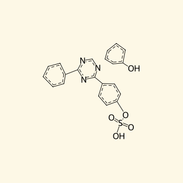 O=S(=O)(O)Oc1ccc(-c2ncnc(-c3ccccc3)n2)cc1.Oc1ccccc1